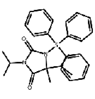 CC(C)N1C(=O)N([Si](c2ccccc2)(c2ccccc2)c2ccccc2)C(C)(C(C)C)C1=O